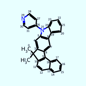 CC1(C)c2cc3c(cc2-c2c1ccc1ccccc21)c1ccccc1n3-c1ccncc1